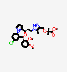 COC(=O)C(C)(C)OCc1nnn(CC[C@H]2O[C@H](c3cccc(OC)c3OC)c3cc(Cl)ccc3-n3cccc32)c1C